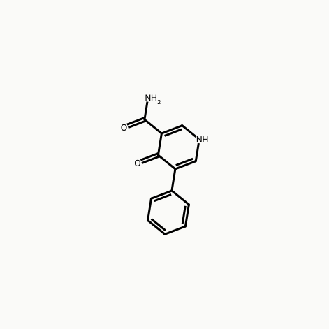 NC(=O)c1c[nH]cc(-c2ccccc2)c1=O